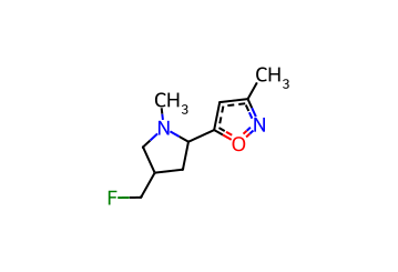 Cc1cc(C2CC(CF)CN2C)on1